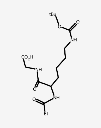 CCC(=O)NC(CCCCNC(=O)OC(C)(C)C)C(=O)NCC(=O)O